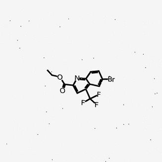 CCOC(=O)c1cc(C(F)(F)F)c2cc(Br)ccc2n1